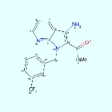 COC(=O)c1c(N)c2cccnc2n1Cc1cccc(C(F)(F)F)c1